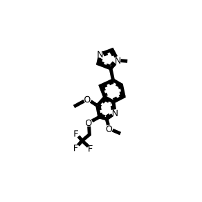 COc1nc2ccc(-c3cncn3C)cc2c(OC)c1OCC(F)(F)F